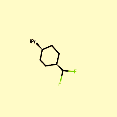 CC(C)[C@H]1CC[C@@H](C(F)F)CC1